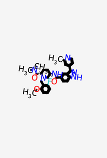 COc1cccc(F)c1CN1C[C@H](NC(=O)c2ccc3[nH]nc(-c4ccnc(C)c4)c3c2)CC[C@H]1C(=O)N(C)C